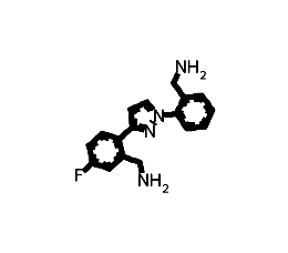 NCc1cc(F)ccc1-c1ccn(-c2ccccc2CN)n1